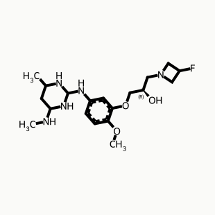 CNC1CC(C)NC(Nc2ccc(OC)c(OC[C@H](O)CN3CC(F)C3)c2)N1